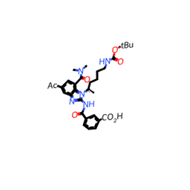 CC(=O)c1cc(C(=O)N(C)C)c2c(c1)nc(NC(=O)c1cccc(C(=O)O)c1)n2[C@H](C)CCCCNC(=O)OC(C)(C)C